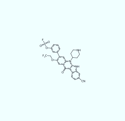 N#Cc1ccc2c(c1)[nH]c1c2c(=O)c2cc(OCC(F)(F)F)c(-c3cccc(OS(=O)(=O)F)c3)cc2n1C1CCNCC1